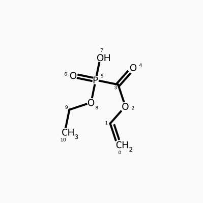 C=COC(=O)P(=O)(O)OCC